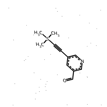 CS(C)(C)C#Cc1cncc(C=O)c1